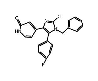 O=c1cc(-c2nc(Cl)n(Cc3ccccc3)c2-c2ccc(F)cc2)cc[nH]1